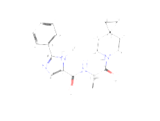 C[C@@H](NC(=O)c1cnc(-c2ccccc2)n1C)C(=O)N1CCC2(CC1)CC2